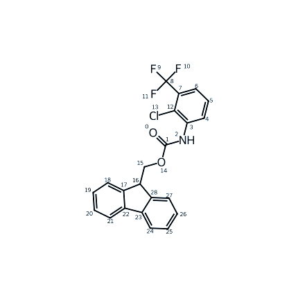 O=C(Nc1cccc(C(F)(F)F)c1Cl)OCC1c2ccccc2-c2ccccc21